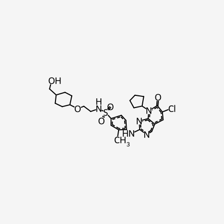 Cc1cc(S(=O)(=O)NCCOC2CCC(CO)CC2)ccc1Nc1ncc2cc(Cl)c(=O)n(C3CCCC3)c2n1